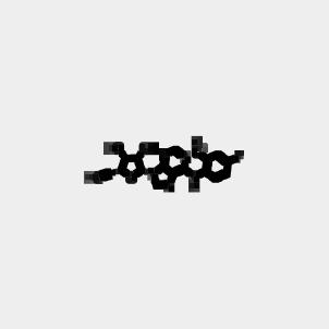 C#C[C@H]1O[C@@H](n2cnc3c(Nc4ccc(F)cc4C)ncnc32)[C@H](O)[C@@H]1O